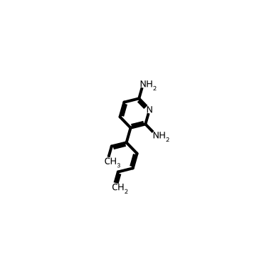 C=C/C=C\C(=C/C)c1ccc(N)nc1N